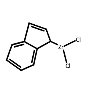 [Cl][Zr]([Cl])[CH]1C=Cc2ccccc21